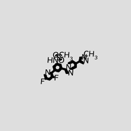 Cn1cc(-c2ccn3c(-c4cc(NS(C)(=O)=O)cc(-c5ncc(F)cc5F)c4)cnc3c2)cn1